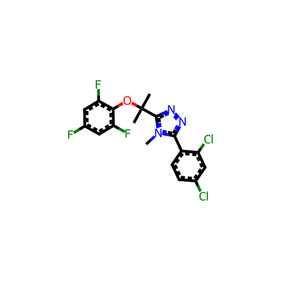 Cn1c(-c2ccc(Cl)cc2Cl)nnc1C(C)(C)Oc1c(F)cc(F)cc1F